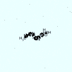 Cn1cc(-c2ccc3nnc(Sc4ccc5ncc(N6CCC(NC(=O)O)CC6)cc5c4)n3c2)cn1